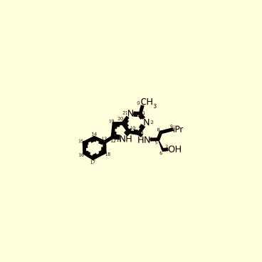 Cc1nc(N[C@H](CO)CC(C)C)c2[nH]c(-c3ccccc3)cc2n1